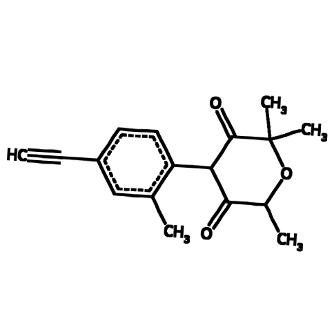 C#Cc1ccc(C2C(=O)C(C)OC(C)(C)C2=O)c(C)c1